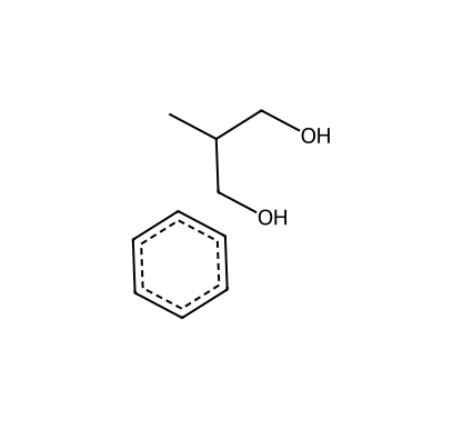 CC(CO)CO.c1ccccc1